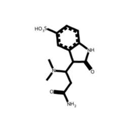 CN(C)C(CC(N)=O)C1C(=O)Nc2ccc(S(=O)(=O)O)cc21